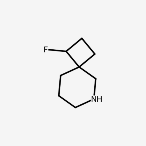 FC1CCC12CCCNC2